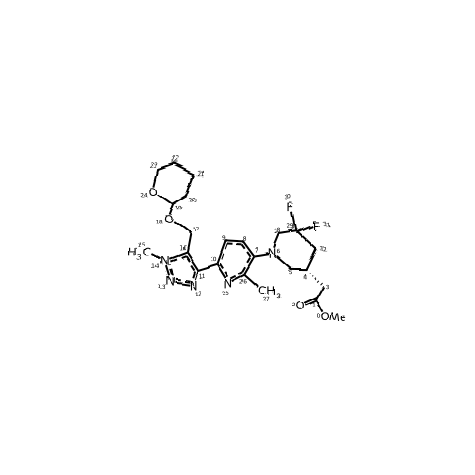 COC(=O)C[C@@H]1CN(c2ccc(-c3nnn(C)c3COC3CCCCO3)nc2C)CC(F)(F)C1